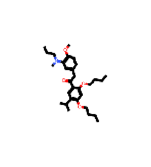 CCCCOc1cc(OCCCC)c(C(C)C)cc1C(=O)Cc1ccc(OC)c(N(C)CCC)c1